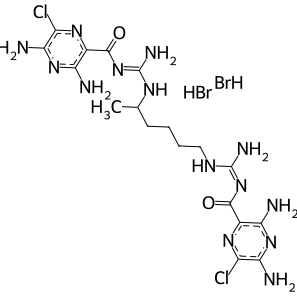 Br.Br.CC(CCCCNC(N)=NC(=O)c1nc(Cl)c(N)nc1N)NC(N)=NC(=O)c1nc(Cl)c(N)nc1N